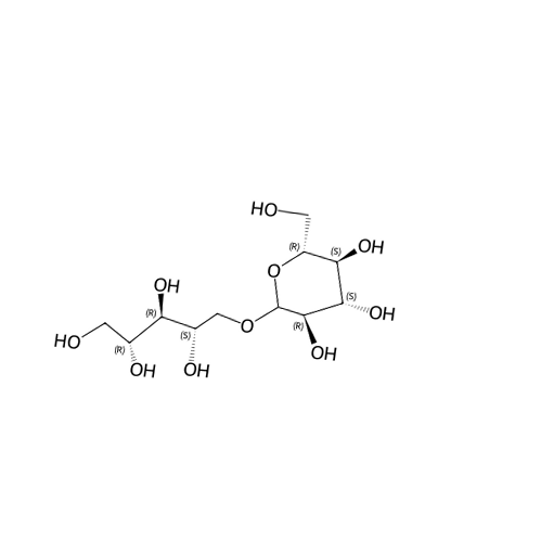 OC[C@@H](O)[C@@H](O)[C@@H](O)COC1O[C@H](CO)[C@@H](O)[C@H](O)[C@H]1O